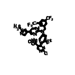 CC[C@@H]1C[C@H](N(Cc2cc(C(F)(F)F)cc(C(F)(F)F)c2)c2ncc(-c3cnn(C)c3)cn2)CN1c1nc(Cl)ncc1C(=O)OC